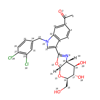 CC(=O)c1ccc2c(C3=N[C@H]4[C@@H](O3)O[C@H](CO)[C@@H](O)[C@@H]4O)cn(Cc3ccc(Cl)c(Cl)c3)c2c1